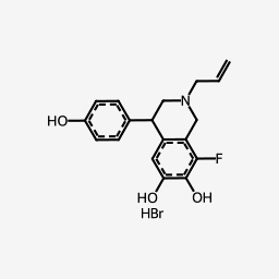 Br.C=CCN1Cc2c(cc(O)c(O)c2F)C(c2ccc(O)cc2)C1